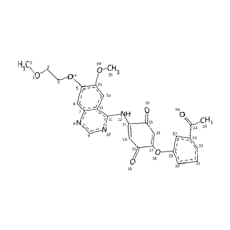 COCCOc1cc2ncnc(NC3=CC(=O)C(Oc4cccc(C(C)=O)c4)=CC3=O)c2cc1OC